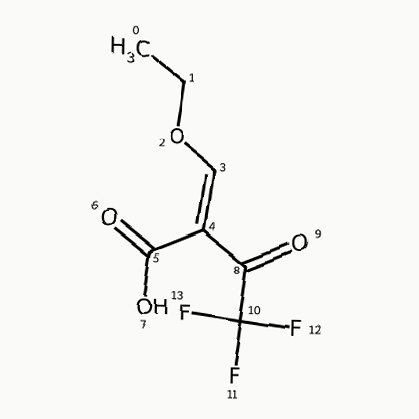 CCOC=C(C(=O)O)C(=O)C(F)(F)F